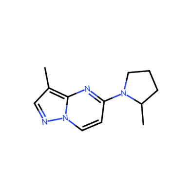 Cc1cnn2ccc(N3CCCC3C)nc12